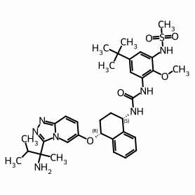 COc1c(NC(=O)N[C@H]2CC[C@@H](Oc3ccc4nnc(C(C)(N)C(C)C)n4c3)c3ccccc32)cc(C(C)(C)C)cc1NS(C)(=O)=O